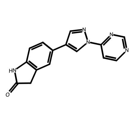 O=C1Cc2cc(-c3cnn(-c4ccncn4)c3)ccc2N1